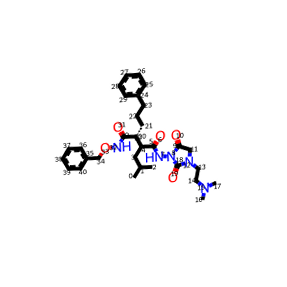 CC(C)CC(C(=O)NN1C(=O)CN(CCN(C)C)C1=O)[C@@H](CCCc1ccccc1)C(=O)NOCc1ccccc1